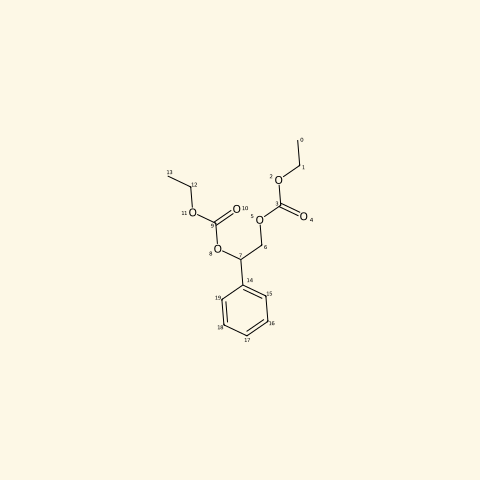 CCOC(=O)OCC(OC(=O)OCC)c1ccccc1